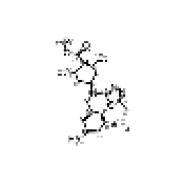 CCC1CC(N(Cc2cc(C(F)(F)F)cc(C(F)(F)F)c2)c2nnc(C)o2)CC(CC)N1C(=O)OC(C)C